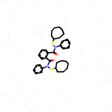 O=C(c1ccccc1C(=O)N(SC1CCCCCCC1)c1ccccc1)N(SC1CCCCCCC1)c1ccccc1